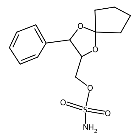 NS(=O)(=O)OCC1OC2(CCCC2)OC1c1ccccc1